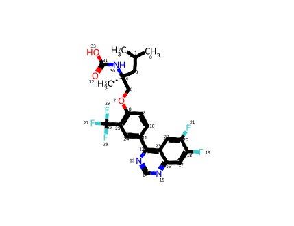 CC(C)C[C@@](C)(COc1ccc(-c2ncnc3cc(F)c(F)cc23)cc1C(F)(F)F)NC(=O)O